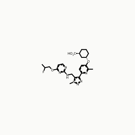 Cc1nc(-c2nnn(C)c2CNc2nccc(OCC(C)F)n2)ccc1O[C@H]1CCC[C@H](C(=O)O)C1